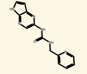 O=C(NCc1ccccn1)Nc1cnc2[nH]ccc2n1